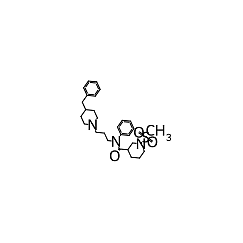 CS(=O)(=O)N1CCCC(C(=O)N(CCCN2CCC(Cc3ccccc3)CC2)c2ccccc2)C1